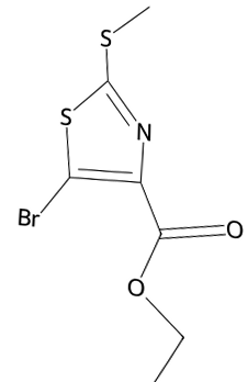 CCOC(=O)c1nc(SC)sc1Br